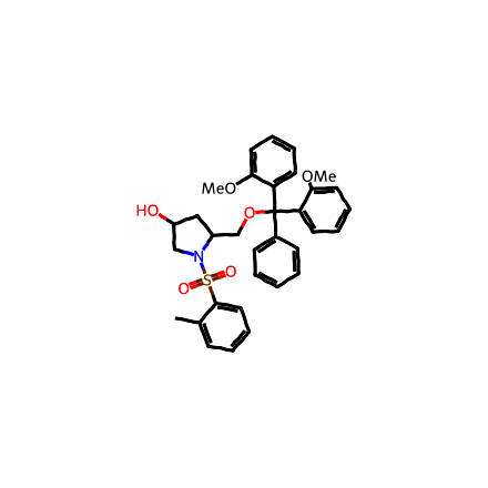 COc1ccccc1C(OCC1CC(O)CN1S(=O)(=O)c1ccccc1C)(c1ccccc1)c1ccccc1OC